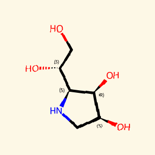 OC[C@@H](O)[C@@H]1NC[C@H](O)[C@@H]1O